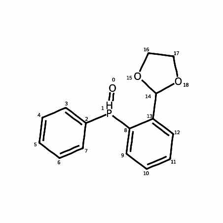 O=[PH](c1ccccc1)c1ccccc1C1OCCO1